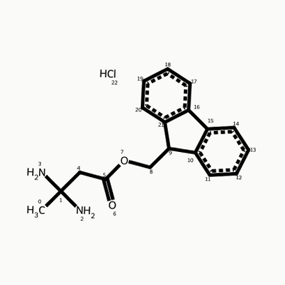 CC(N)(N)CC(=O)OCC1c2ccccc2-c2ccccc21.Cl